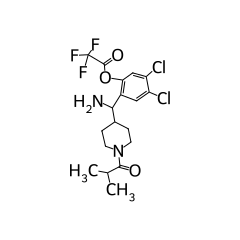 CC(C)C(=O)N1CCC(C(N)c2cc(Cl)c(Cl)cc2OC(=O)C(F)(F)F)CC1